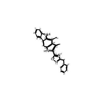 Cc1c(-c2nc(Cc3ccccc3)no2)[nH]c2cc3c([nH]c4ccccc43)c(C)c12